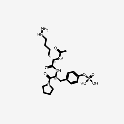 CC(=O)N[C@@H](CCCCNN)C(=O)N[C@@H](Cc1ccc(OP(=O)(O)O)cc1)C(=O)N1CCCC1